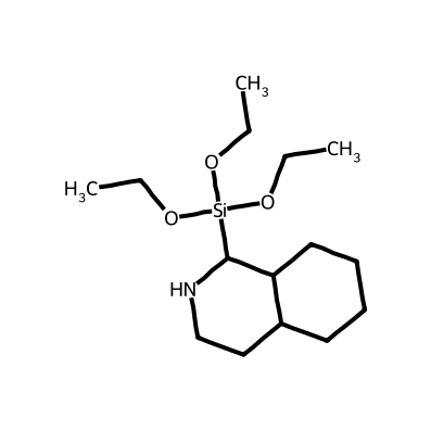 CCO[Si](OCC)(OCC)C1NCCC2CCCCC21